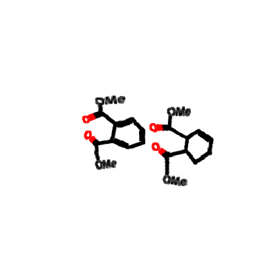 COC(=O)C1C=CCCC1C(=O)OC.COC(=O)c1ccccc1C(=O)OC